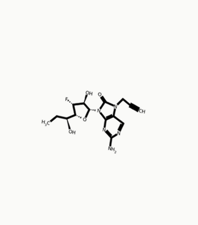 C#CCn1c(=O)n([C@@H]2O[C@H]([C@@H](O)CC)[C@H](F)[C@H]2O)c2nc(N)ncc21